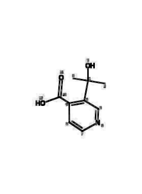 CC(C)(O)c1cnccc1C(=O)O